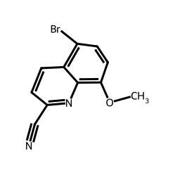 COc1ccc(Br)c2ccc(C#N)nc12